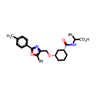 Cc1ccc(-c2nc(CO[C@H]3CCC[C@@H](C(=O)NC(C(=O)O)C(C)C)C3)c(C(C)C)o2)cc1